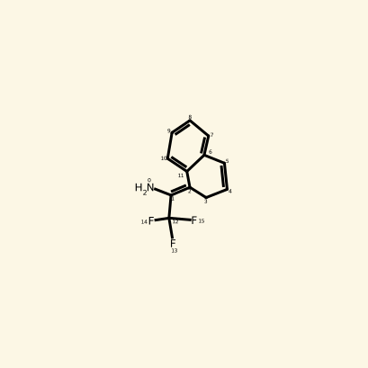 NC(=C1CC=Cc2ccccc21)C(F)(F)F